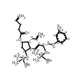 C=CCCC(=O)O[C@H]1CC(O[Si](C)(C)C(C)(C)C)[C@H](/C=C/[C@H](COc2cccc(C(F)(F)F)c2)O[Si](C)(C)C(C)(C)C)[C@H]1CC=C